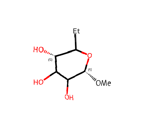 CCC1O[C@H](OC)C(O)C(O)[C@@H]1O